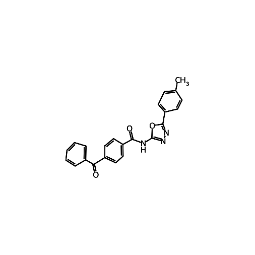 Cc1ccc(-c2nnc(NC(=O)c3ccc(C(=O)c4ccccc4)cc3)o2)cc1